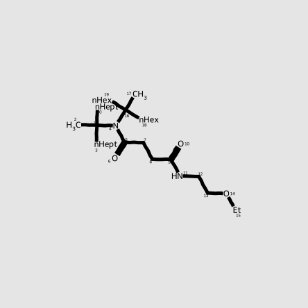 CCCCCCCC(C)(CCCCCCC)N(C(=O)CCC(=O)NCCOCC)C(C)(CCCCCC)CCCCCC